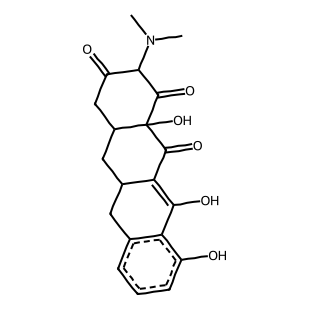 CN(C)C1C(=O)CC2CC3Cc4cccc(O)c4C(O)=C3C(=O)C2(O)C1=O